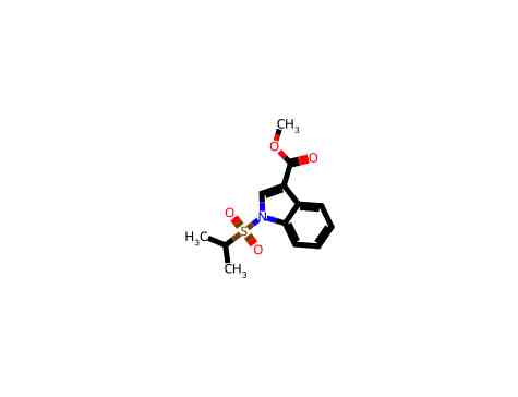 COC(=O)c1cn(S(=O)(=O)C(C)C)c2ccccc12